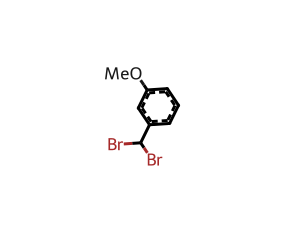 COc1cccc(C(Br)Br)c1